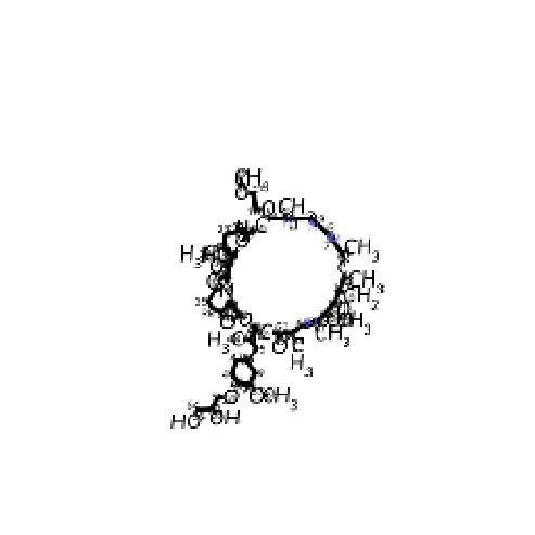 C=C1[C@H](C)C[C@H](C)/C=C/C=C/C=C(\C)C(OCCOC)C[C@@H]2CC[C@@H](C)[C@@](O)(O2)C(=O)C(=O)N2CCCC[C@H]2C(=O)O[C@H]([C@H](C)C[C@@H]2CC[C@@H](OC[C@@H](O)CO)[C@H](OC)C2)CC(=O)[C@H](C)/C=C(\C)[C@@H](O)[C@H]1OC